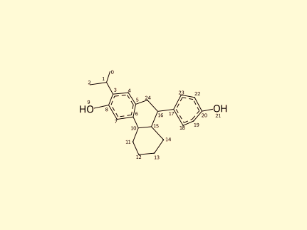 CC(C)c1cc2c(cc1O)C1CCCCC1C(c1ccc(O)cc1)C2